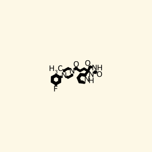 C[C@H]1CN(C(=O)CCC2(c3ccccn3)NC(=O)NC2=O)CCN1c1cccc(F)c1